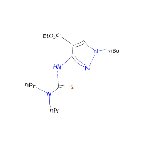 CCCCn1cc(C(=O)OCC)c(NC(=S)N(CCC)CCC)n1